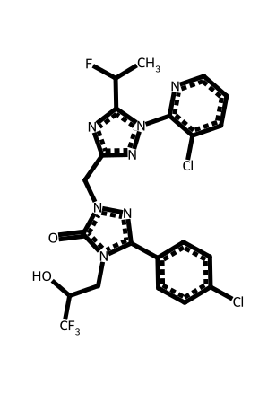 CC(F)c1nc(Cn2nc(-c3ccc(Cl)cc3)n(CC(O)C(F)(F)F)c2=O)nn1-c1ncccc1Cl